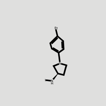 CCc1ccc(N2CC[C@@H](NI)C2)cc1